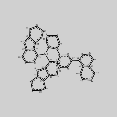 c1cc(-c2ccccc2N(c2cccc3c2oc2ccccc23)c2cccc3sc4ccccc4c23)cc(-c2cccc3ccccc23)c1